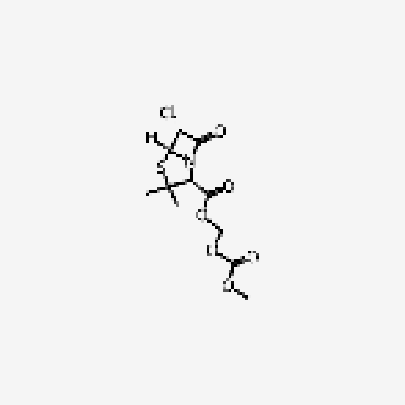 COC(=O)OCOC(=O)[C@@H]1N2C(=O)[C@@H](Cl)[C@H]2SC1(C)C